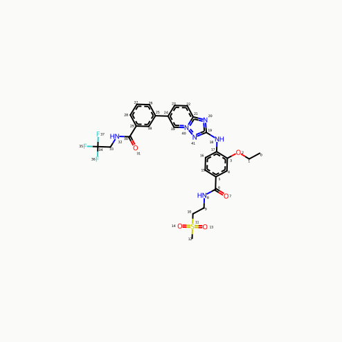 CCOc1cc(C(=O)NCCS(C)(=O)=O)ccc1Nc1nc2ccc(-c3cccc(C(=O)NCC(F)(F)F)c3)cn2n1